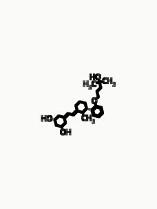 C[C@H]1/C(=C/C=C2C[C@@H](O)C[C@H](O)C2)CCC[C@@H]1c1ccccc1OCCCC(C)(C)O